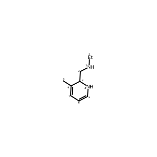 CCNCC1NC=CC=C1C